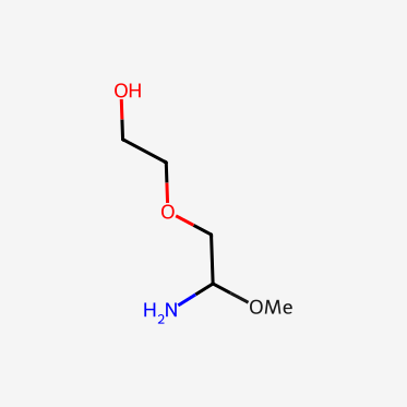 COC(N)COCCO